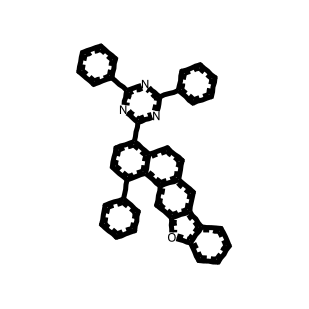 c1ccc(-c2nc(-c3ccccc3)nc(-c3ccc(-c4ccccc4)c4c3ccc3cc5c(cc34)oc3ccccc35)n2)cc1